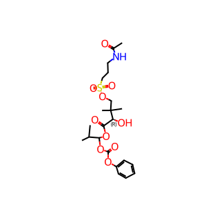 CC(=O)NCCCS(=O)(=O)OCC(C)(C)[C@@H](O)C(=O)OC(OC(=O)Oc1ccccc1)C(C)C